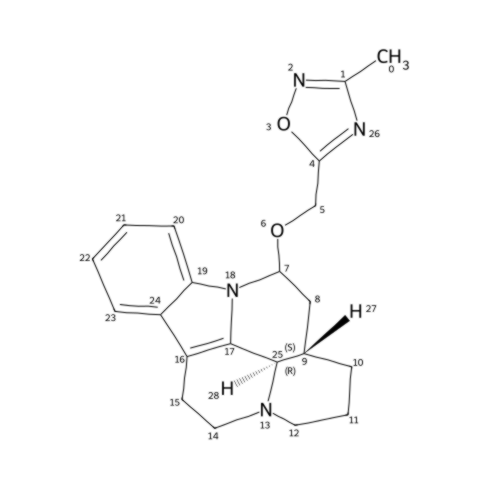 Cc1noc(COC2C[C@@H]3CCCN4CCc5c(n2c2ccccc52)[C@@H]34)n1